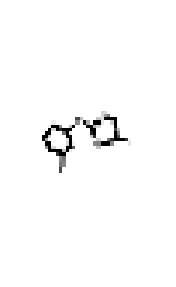 Fc1cccc(Oc2ncc(I)cn2)c1